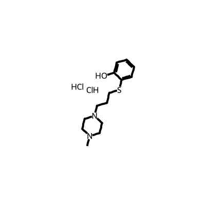 CN1CCN(CCCSc2ccccc2O)CC1.Cl.Cl